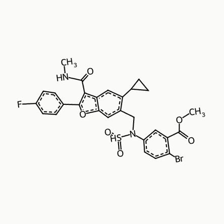 CNC(=O)c1c(-c2ccc(F)cc2)oc2cc(CN(c3ccc(Br)c(C(=O)OC)c3)[SH](=O)=O)c(C3CC3)cc12